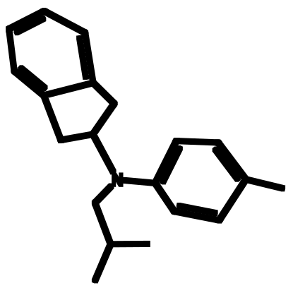 Cc1ccc(N(CC(C)C)C2Cc3ccccc3C2)cc1